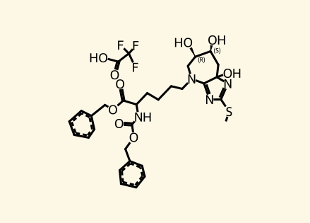 CSC1=NC2(O)C[C@H](O)[C@H](O)CN(CCCCC(NC(=O)OCc3ccccc3)C(=O)OCc3ccccc3)C2=N1.O=C(O)C(F)(F)F